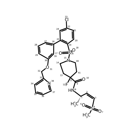 C[C@@H](/C=C\S(C)(=O)=O)NC(=O)C1(F)CCN(S(=O)(=O)c2ccc(Cl)cc2-c2cccc(OCc3ccccn3)c2)CC1